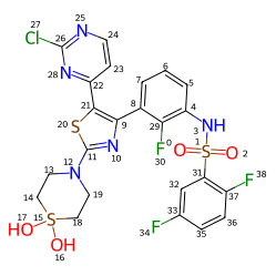 O=S(=O)(Nc1cccc(-c2nc(N3CCS(O)(O)CC3)sc2-c2ccnc(Cl)n2)c1F)c1cc(F)ccc1F